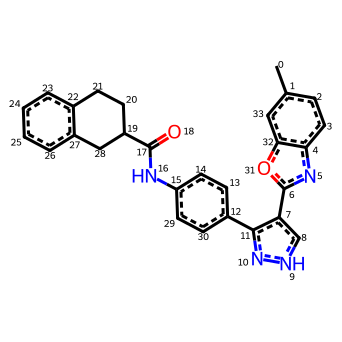 Cc1ccc2nc(-c3c[nH]nc3-c3ccc(NC(=O)C4CCc5ccccc5C4)cc3)oc2c1